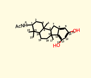 CC(=O)NC1CCC2(C)C3Cc4cc(O)cc(O)c4C3(C)CCC2C1(C)C